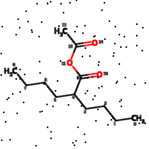 CCCCC(CCCC)C(=O)OC(C)=O